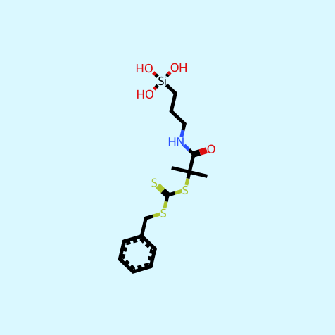 CC(C)(SC(=S)SCc1ccccc1)C(=O)NCCC[Si](O)(O)O